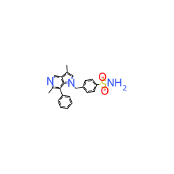 Cc1ncc2c(C)cn(Cc3ccc(S(N)(=O)=O)cc3)c2c1-c1ccccc1